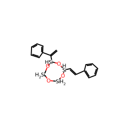 C=C(c1ccccc1)[SiH]1O[SiH2]O[SiH2]O[SiH](C=Cc2ccccc2)O1